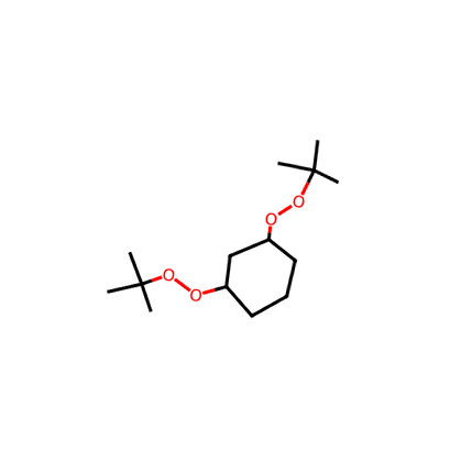 CC(C)(C)OOC1CCCC(OOC(C)(C)C)C1